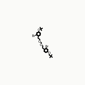 CC(C)(C)COc1ccc(CCOCOCCc2ccc(OC(C)(C)C)cc2Br)c(Br)c1